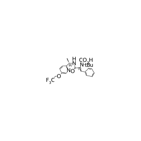 C[C@@H](NC(=O)[C@H](Cc1ccccc1)N(C(=O)O)C(C)(C)C)c1ccc(OCC(F)(F)F)cn1